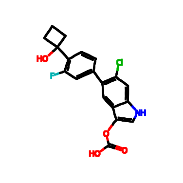 O=C(O)Oc1c[nH]c2cc(Cl)c(-c3ccc(C4(O)CCC4)c(F)c3)cc12